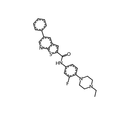 CCN1CCN(c2ccc(NC(=O)c3cc4cc(-c5ccccc5)cnc4s3)cc2F)CC1